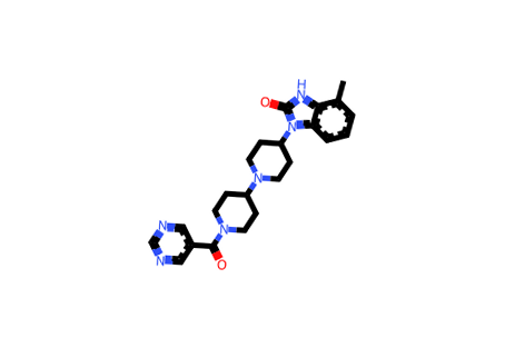 Cc1cccc2c1[nH]c(=O)n2C1CCN(C2CCN(C(=O)c3cncnc3)CC2)CC1